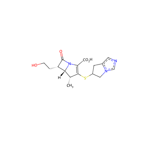 C[C@H]1C(SC2Cc3cncn3C2)=C(C(=O)O)N2C(=O)[C@@H](CCO)[C@@H]12